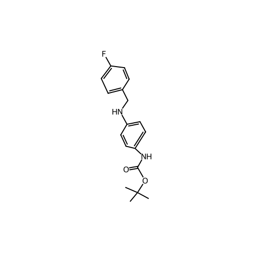 CC(C)(C)OC(=O)Nc1ccc(NCc2ccc(F)cc2)cc1